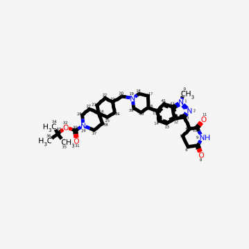 Cn1nc(C2CCC(=O)NC2=O)c2ccc(C3CCN(CC4CCC5(CC4)CCN(C(=O)OC(C)(C)C)CC5)CC3)cc21